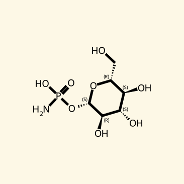 NP(=O)(O)O[C@@H]1O[C@H](CO)[C@@H](O)[C@H](O)[C@H]1O